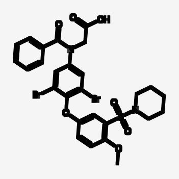 COc1ccc(Oc2c(Br)cc(N(CC(=O)O)C(=O)c3ccccc3)cc2Br)cc1S(=O)(=O)N1CCCCC1